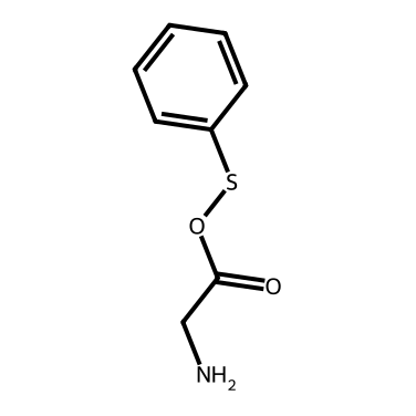 NCC(=O)OSc1ccccc1